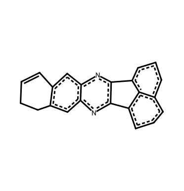 C1=Cc2cc3nc4c(nc3cc2CC1)-c1cccc2cccc-4c12